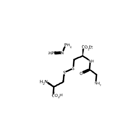 CCOC(=O)[C@H](CSSCC(N)C(=O)O)NC(=O)CN.P=NP